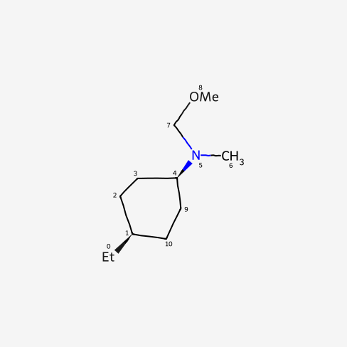 CC[C@H]1CC[C@@H](N(C)COC)CC1